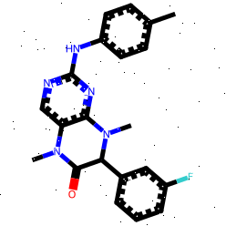 Cc1ccc(Nc2ncc3c(n2)N(C)C(c2cccc(F)c2)C(=O)N3C)cc1